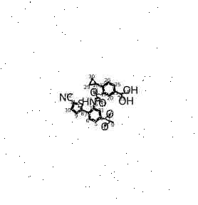 CS(=O)(=O)c1ccc(-c2ccc(C#N)s2)c(NS(=O)(=O)c2cc(C(O)O)ccc2C2CC2)c1